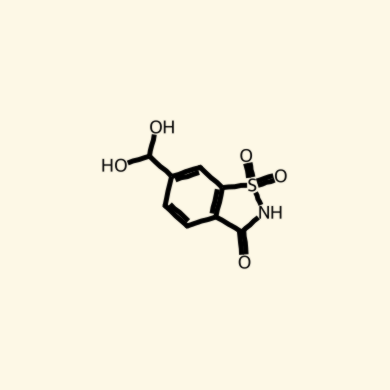 O=C1NS(=O)(=O)c2cc(C(O)O)ccc21